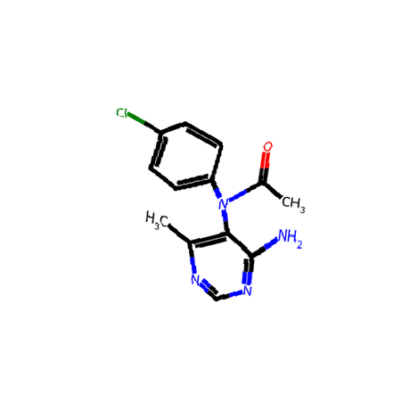 CC(=O)N(c1ccc(Cl)cc1)c1c(C)ncnc1N